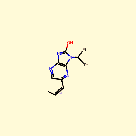 C/C=C\c1cnc2nc(O)n(C(CC)CC)c2n1